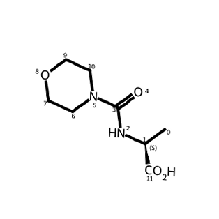 C[C@H](NC(=O)N1CCOCC1)C(=O)O